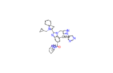 COc1cc(C(=O)N2CC3CCC2[C@@H]3N)cc2nc(-c3cc4ccccc4n3CC3CC3)n(Cc3cnn(-c4cncnc4)c3)c12